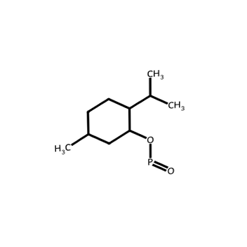 CC1CCC(C(C)C)C(OP=O)C1